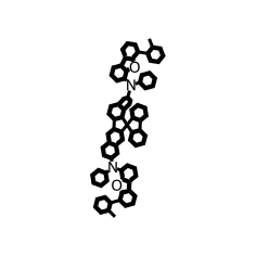 Cc1ccccc1-c1cccc2c1oc1c(N(c3ccccc3)c3ccc4cc5c(cc4c3)C3(c4ccccc4-c4ccccc43)c3c-5ccc4cc(N(c5ccccc5)c5cccc6c5oc5c(-c7ccccc7C)cccc56)ccc34)cccc12